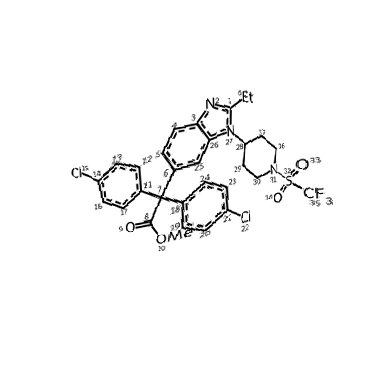 CCc1nc2ccc(C(C(=O)OC)(c3ccc(Cl)cc3)c3ccc(Cl)cc3)cc2n1C1CCN(S(=O)(=O)C(F)(F)F)CC1